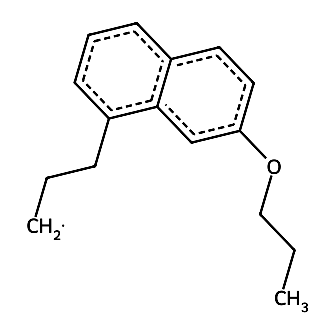 [CH2]CCc1cccc2ccc(OCCC)cc12